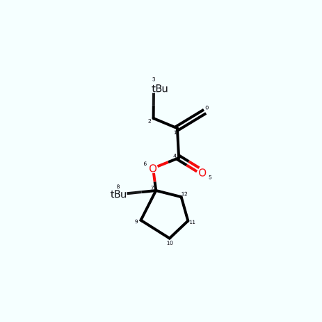 C=C(CC(C)(C)C)C(=O)OC1(C(C)(C)C)CCCC1